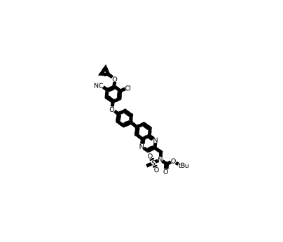 CC(C)(C)OC(=O)N(Cc1cnc2cc(-c3ccc(Oc4cc(Cl)c(OC5CC5)c(C#N)c4)cc3)ccc2n1)S(C)(=O)=O